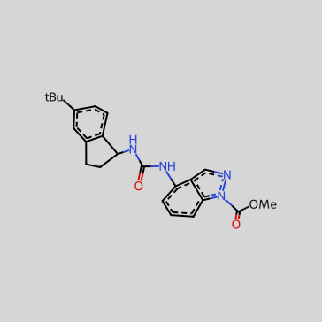 COC(=O)n1ncc2c(NC(=O)NC3CCc4cc(C(C)(C)C)ccc43)cccc21